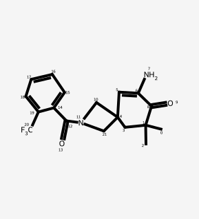 CC1(C)CC2(C=C(N)C1=O)CN(C(=O)c1ccccc1C(F)(F)F)C2